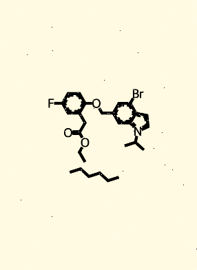 CCCCCC.CCOC(=O)Cc1cc(F)ccc1OCc1cc(Br)c2ccn(C(C)C)c2c1